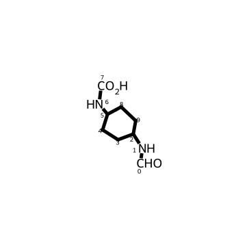 O=CNC1CCC(NC(=O)O)CC1